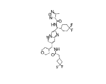 Cc1nonc1C(=O)N[C@H](c1cn2ncc([C@H](NC(=O)CC3CC(F)(F)C3)C3CCOCC3)cc2n1)C1CCC(F)(F)CC1